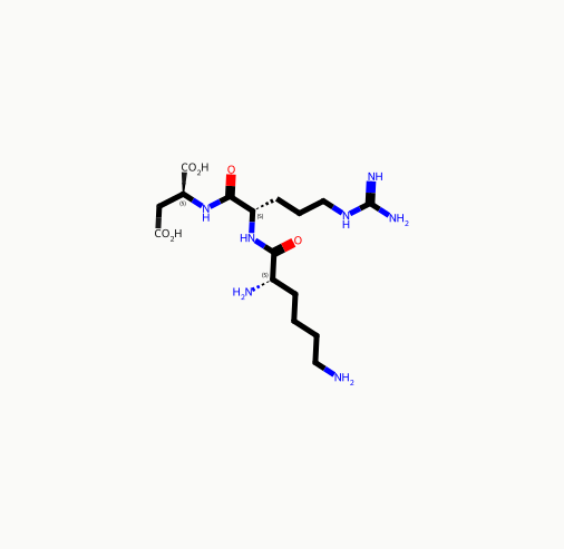 N=C(N)NCCC[C@H](NC(=O)[C@@H](N)CCCCN)C(=O)N[C@@H](CC(=O)O)C(=O)O